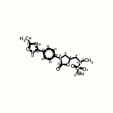 CCCCS(=O)(=O)N(C)CC1CN(c2ccc(-c3noc(C)n3)cc2)C(=O)O1